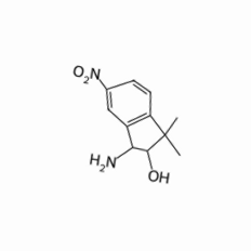 CC1(C)c2ccc([N+](=O)[O-])cc2C(N)C1O